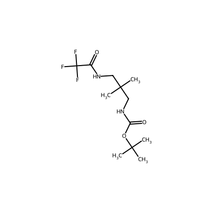 CC(C)(CNC(=O)OC(C)(C)C)CNC(=O)C(F)(F)F